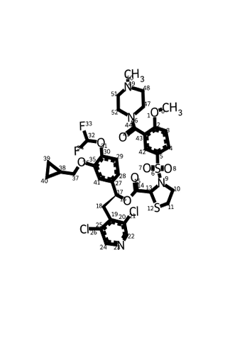 COc1ccc(S(=O)(=O)N2CCSC2C(=O)O[C@@H](Cc2c(Cl)cncc2Cl)c2ccc(OC(F)F)c(OCC3CC3)c2)cc1C(=O)N1CCN(C)CC1